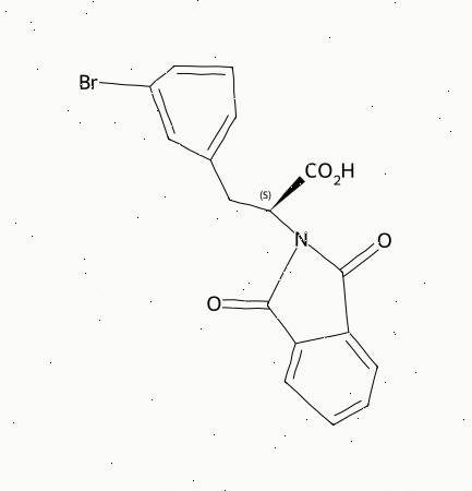 O=C(O)[C@H](Cc1cccc(Br)c1)N1C(=O)c2ccccc2C1=O